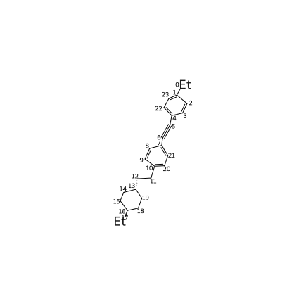 CCc1ccc(C#Cc2ccc(CC[C@H]3CC[C@H](CC)CC3)cc2)cc1